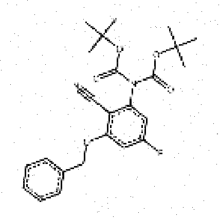 CC(C)(C)OC(=O)N(C(=O)OC(C)(C)C)c1cc(F)cc(OCc2ccccc2)c1C#N